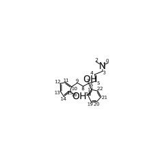 CN(C)CCCC(O)(CCc1ccccc1O)c1ccccc1